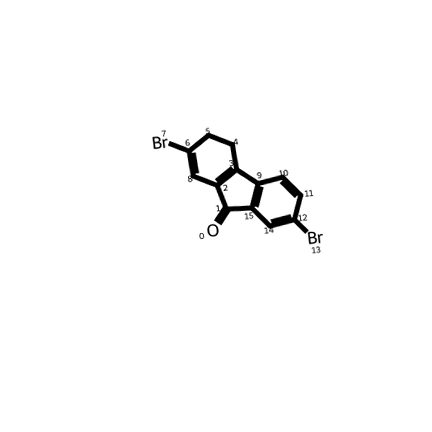 O=C1C2=C(CCC(Br)=C2)c2ccc(Br)cc21